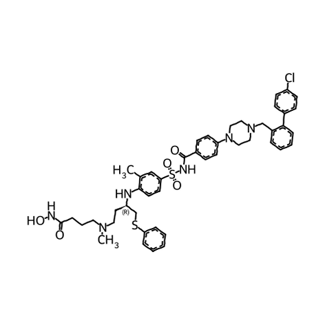 Cc1cc(S(=O)(=O)NC(=O)c2ccc(N3CCN(Cc4ccccc4-c4ccc(Cl)cc4)CC3)cc2)ccc1N[C@H](CCN(C)CCCC(=O)NO)CSc1ccccc1